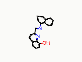 Oc1cccc2ccc(C=Nc3cccc4ccccc34)nc12